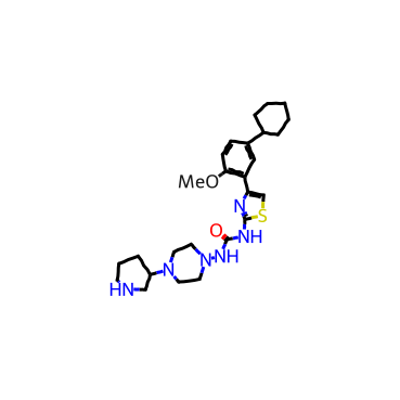 COc1ccc(C2CCCCC2)cc1-c1csc(NC(=O)NN2CCN(C3CCCNC3)CC2)n1